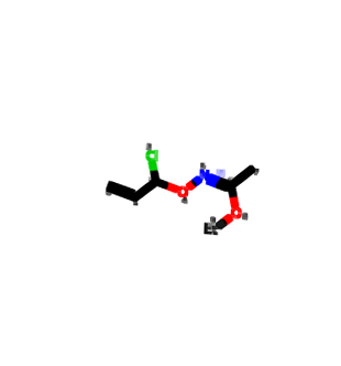 C=CC(Cl)O/N=C(/C)OCC